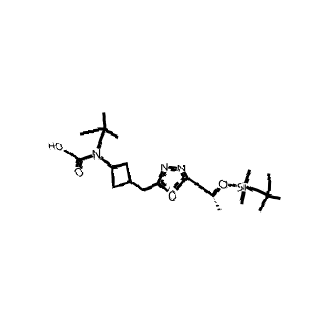 C[C@@H](O[Si](C)(C)C(C)(C)C)c1nnc(CC2CC(N(C(=O)O)C(C)(C)C)C2)o1